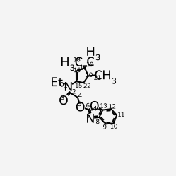 CCN(C(=O)COc1nc2ccccc2o1)C1=CC(C)(C)C(C)C1